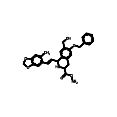 Cc1cc2c(cc1/C=C/C1NC(C(=O)ON)Cc3cc(OCc4ccccc4)c(CO)cc31)OCO2